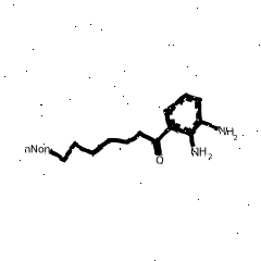 CCCCCCCCCCCCCCCC(=O)c1cccc(N)c1N